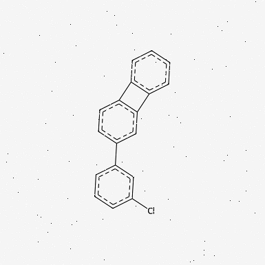 Clc1cccc(-c2ccc3c(c2)-c2ccccc2-3)c1